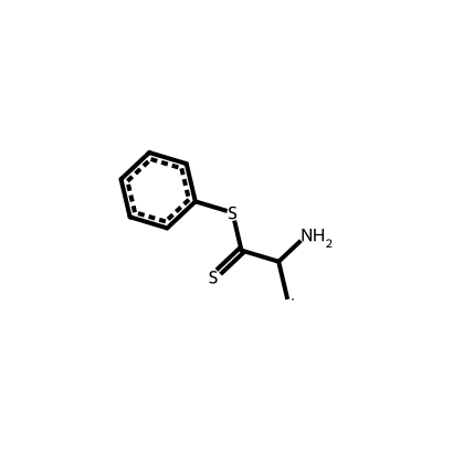 [CH2]C(N)C(=S)Sc1ccccc1